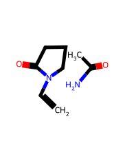 C=CN1CCCC1=O.CC(N)=O